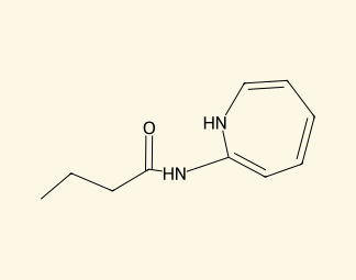 CCCC(=O)NC1=CC=CC=CN1